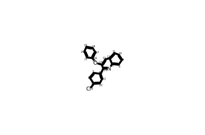 Clc1ccc(-c2nc3ccccc3cc2Oc2ccccc2)cc1